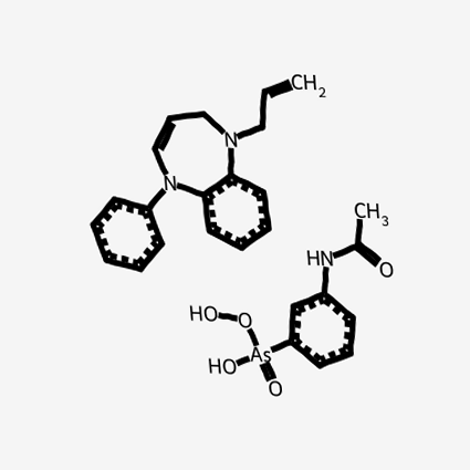 C=CCN1CC=CN(c2ccccc2)c2ccccc21.CC(=O)Nc1cccc([As](=O)(O)OO)c1